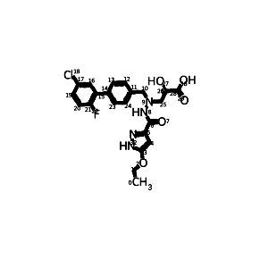 CCOc1cc(C(=O)NN(Cc2ccc(-c3cc(Cl)ccc3F)cc2)C[C@@H](O)C(=O)O)n[nH]1